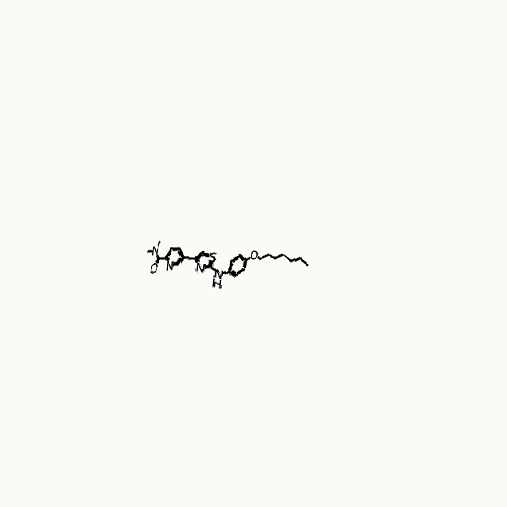 CCCCCCCOc1ccc(Nc2nc(-c3ccc(C(=O)N(C)C)nc3)cs2)cc1